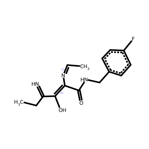 C/C=N\C(C(=O)NCc1ccc(F)cc1)=C(\O)C(=N)CC